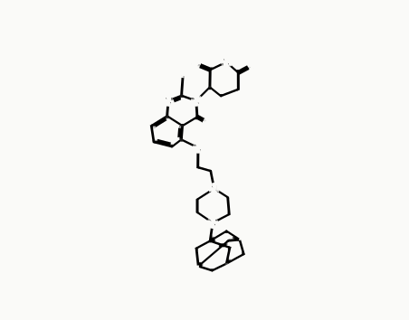 Cc1nc2cccc(NCCN3CCN(C45CC6CC(CC(C6)C4)C5)CC3)c2c(=O)n1C1CCC(=O)NC1=O